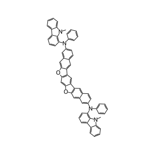 Cn1c2ccccc2c2cccc(N(c3ccccc3)c3ccc4cc5c(cc4c3)oc3cc4oc6cc7cc(N(c8ccccc8)c8cccc9c%10ccccc%10n(C)c89)ccc7cc6c4cc35)c21